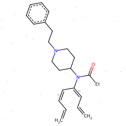 C=C/C=C\C(=C/C=C)N(C(=O)CC)C1CCN(CCc2ccccc2)CC1